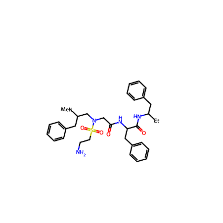 CCC(Cc1ccccc1)NC(=O)C(Cc1ccccc1)NC(=O)CN(CC(Cc1ccccc1)NC)S(=O)(=O)CCN